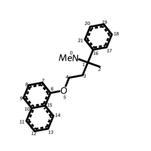 CNC(C)(CCOc1cccc2ccccc12)c1ccccc1